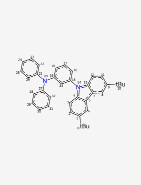 CC(C)(C)c1ccc2c(c1)c1cc(C(C)(C)C)ccc1n2-c1cccc(N(c2ccccc2)c2ccccc2)c1